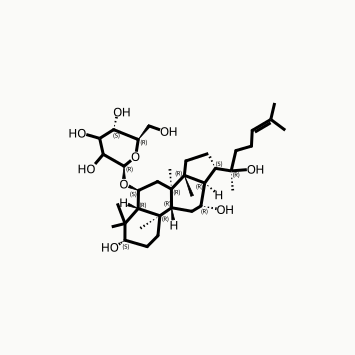 CC(C)=CCC[C@@](C)(O)[C@H]1CC[C@]2(C)[C@@H]1[C@H](O)C[C@@H]1[C@@]3(C)CC[C@H](O)C(C)(C)[C@@H]3[C@@H](O[C@@H]3O[C@H](CO)[C@@H](O)C(O)C3O)C[C@]12C